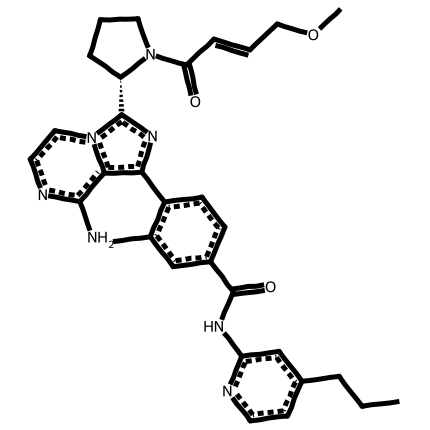 CCCc1ccnc(NC(=O)c2ccc(-c3nc([C@@H]4CCCN4C(=O)/C=C/COC)n4ccnc(N)c34)c(C)c2)c1